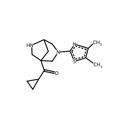 Cc1nc(N2CC3CC(C(=O)C4CC4)(CN3)C2)sc1C